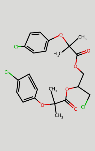 CC(C)(Oc1ccc(Cl)cc1)C(=O)OCC(CCl)OC(=O)C(C)(C)Oc1ccc(Cl)cc1